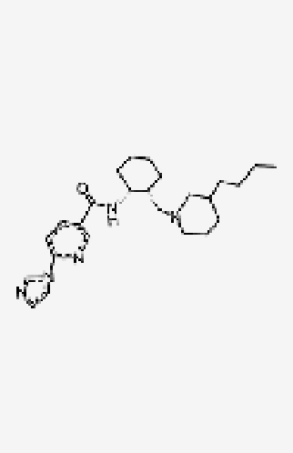 CCCCC1CCCN(C[C@H]2CCCC[C@H]2NC(=O)c2ccc(-n3ccnc3)nc2)C1